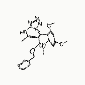 COc1cc(OC)c(C2C(C(=O)OCc3ccccc3)=C(C)Nc3nnnn32)c(OC)c1